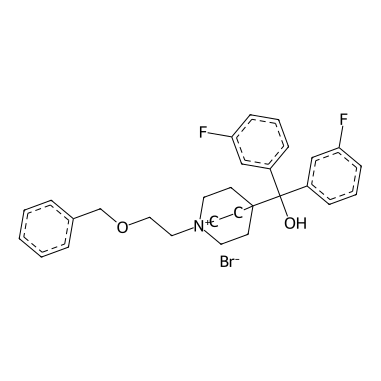 OC(c1cccc(F)c1)(c1cccc(F)c1)C12CC[N+](CCOCc3ccccc3)(CC1)CC2.[Br-]